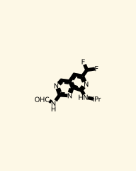 CC(C)Nc1nc(C(F)F)cc2cnc(NC=O)nc12